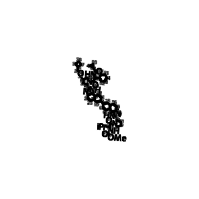 COC(=O)N[C@H](C(=O)N1CCC[C@H]1c1nc2ccc3cc(-c4ccc5c(ccc6nc([C@@H]7C[C@H](COCC8CCC8)CN7C(=O)[C@H](NC(=O)C7CC7)c7ccccc7)[nH]c65)c4)ccc3c2[nH]1)C(C)C